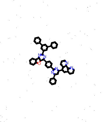 c1ccc(-c2cc(-c3ccccc3)cc(-c3nc(-c4ccc(-c5nc(-c6ccccc6)cc(-c6cc7cccnc7c7ncccc67)n5)cc4)c4oc5ccccc5c4n3)c2)cc1